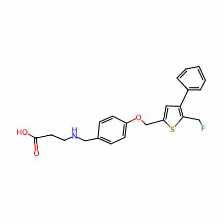 O=C(O)CCNCc1ccc(OCc2cc(-c3ccccc3)c(CF)s2)cc1